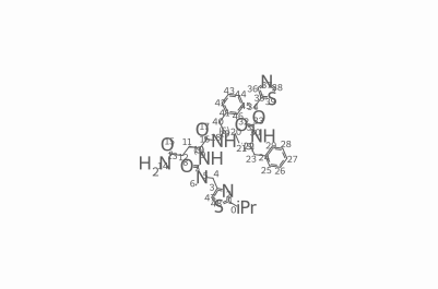 CC(C)c1nc(CN(C)C(=O)N[C@@H](CCC(N)=O)C(=O)N[C@@H](CC[C@@H](Cc2ccccc2)NC(=O)OCc2cncs2)Cc2ccccc2)cs1